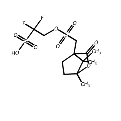 CC12CCC(CS(=O)(=O)OCC(F)(F)S(=O)(=O)O)(C(=O)O1)C2(C)C